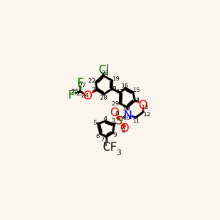 O=S(=O)(c1cccc(C(F)(F)F)c1)N1CCOc2ccc(-c3cc(Cl)cc(OC(F)F)c3)cc21